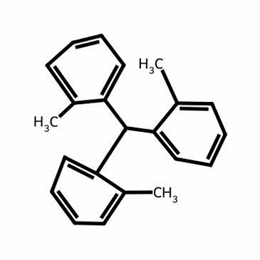 Cc1ccccc1[C](c1ccccc1C)c1ccccc1C